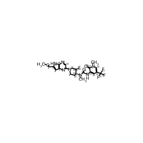 COCc1cc2nc(N3CC[C@H](N(C)C(=O)Nc4cc(C(F)(F)F)cn(C)c4=O)[C@H](F)C3)cnc2[nH]1